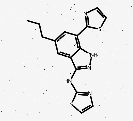 CCCc1cc(-c2nccs2)c2[nH]nc(Nc3nccs3)c2c1